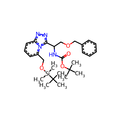 CC(C)(C)OC(=O)NC(COCc1ccccc1)c1nnc2cccc(CO[Si](C)(C)C(C)(C)C)n12